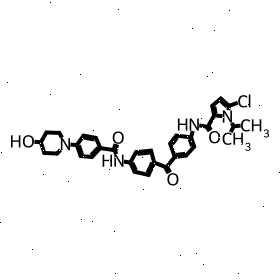 CC(C)n1c(Cl)ccc1C(=O)Nc1ccc(C(=O)c2ccc(NC(=O)c3ccc(N4CCC(O)CC4)cc3)cc2)cc1